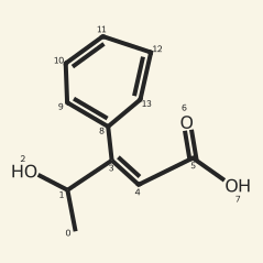 CC(O)/C(=C/C(=O)O)c1ccccc1